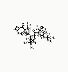 CC(NC(=O)[C@@H]1[C@@H]2[C@H](CN1C(=O)[C@@H](NC(=O)NC(C)(C)C)C(C)(C)C)C2(C)C)C(O)C(=O)C1CCC1N